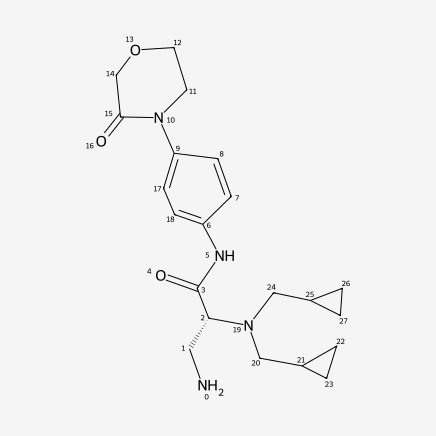 NC[C@H](C(=O)Nc1ccc(N2CCOCC2=O)cc1)N(CC1CC1)CC1CC1